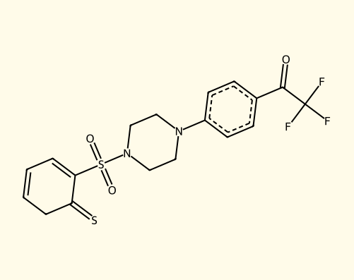 O=C(c1ccc(N2CCN(S(=O)(=O)C3=CC=CCC3=S)CC2)cc1)C(F)(F)F